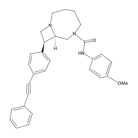 COc1ccc(NC(=O)N2CCCCN3C[C@H](c4ccc(C#Cc5ccccc5)cc4)[C@@H]3C2)cc1